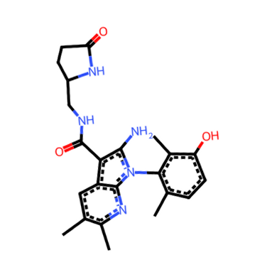 Cc1cc2c(C(=O)NCC3CCC(=O)N3)c(N)n(-c3c(C)ccc(O)c3C)c2nc1C